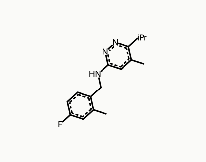 Cc1cc(F)ccc1CNc1cc(C)c(C(C)C)nn1